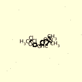 C#Cc1c(C)nn(C)c1Oc1ccc(Oc2ccc(OC(C)=C(Cl)Cl)cc2)cc1